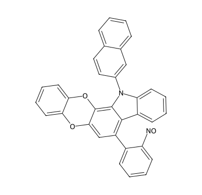 O=Nc1ccccc1-c1cc2c(c3c1c1ccccc1n3-c1ccc3ccccc3c1)Oc1ccccc1O2